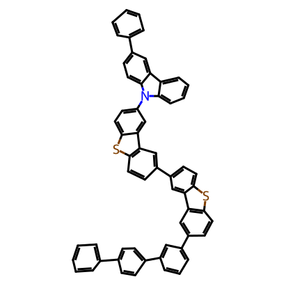 c1ccc(-c2ccc(-c3cccc(-c4ccc5sc6ccc(-c7ccc8sc9ccc(-n%10c%11ccccc%11c%11cc(-c%12ccccc%12)ccc%11%10)cc9c8c7)cc6c5c4)c3)cc2)cc1